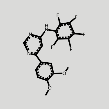 COc1ccc(-c2cc(Nc3c(F)c(F)c(F)c(F)c3F)ncn2)cc1OC